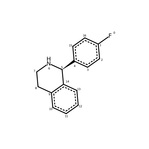 Fc1ccc([C@@H]2NCCc3ccccc32)cc1